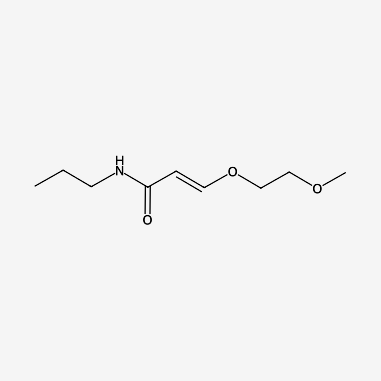 CCCNC(=O)C=COCCOC